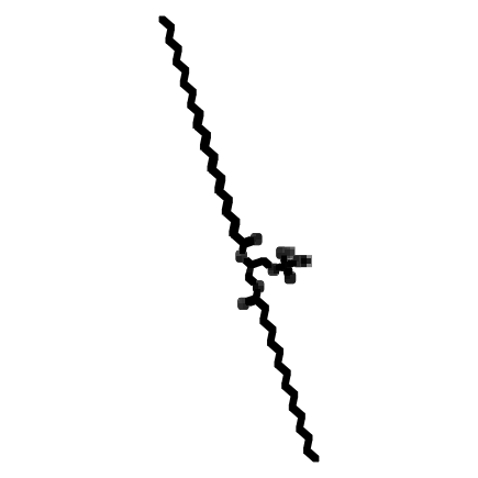 CCCCCCCCCC=CC=CC=CC=CC=CC=CC(=O)O[C@H](COC(=O)CCCCCCCCCCCCCCC)COP(=O)(O)O